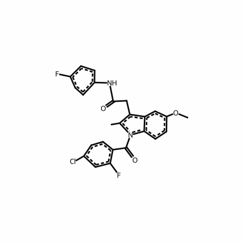 COc1ccc2c(c1)c(CC(=O)Nc1ccc(F)cc1)c(C)n2C(=O)c1ccc(Cl)cc1F